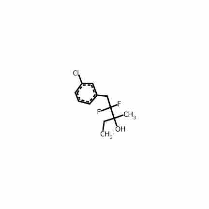 [CH2]CC(C)(O)C(F)(F)Cc1cccc(Cl)c1